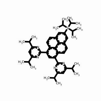 CC(C)c1cc(C(C)C)nc(-c2cc(-c3nc(C(C)C)cc(C(C)C)n3)c3ccc4cc([Si](C(C)C)(C(C)C)C(C)C)cc5ccc2c3c54)n1